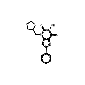 O=c1c2sc(-c3ccccc3)cc2n(CC2CCCO2)c(=O)n1O